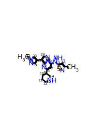 Cc1cc(N(N)c2cc(C3CCCNC3)nc3c(-c4cnn(C)c4)cnn23)sn1